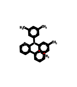 Cc1cc(C)cc(P(c2cc(C)cc(C)c2)c2ncccc2-c2cccnc2)c1